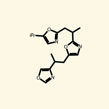 CC(C)c1cnc(CC(C)c2ncc(CC(C)c3cocn3)o2)o1